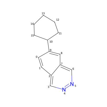 c1cc2cnncc2cc1C1CCCCC1